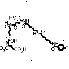 C[C@H](CCCOP(O)N[C@@H](CCC(=O)O)C(=O)O)NC(=O)CC[C@H](NC(=O)CCCCCNC(=O)CCCCCNC(=O)c1ccc(F)cc1)C(=O)O